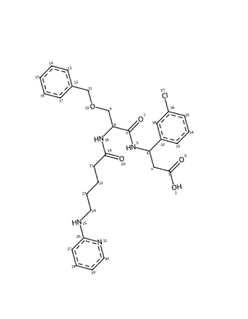 O=C(O)CC(NC(=O)C(COCc1ccccc1)NC(=O)CCCCNc1ccccn1)c1cccc(Cl)c1